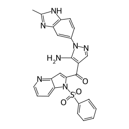 Cc1nc2cc(-n3ncc(C(=O)c4cc5ncccc5n4S(=O)(=O)c4ccccc4)c3N)ccc2[nH]1